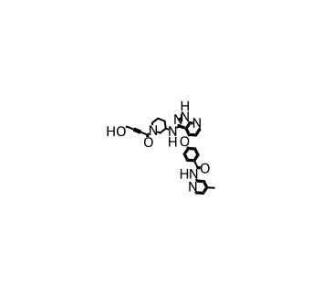 Cc1ccnc(NC(=O)c2ccc(Oc3ccnc4[nH]nc(NC5CCCN(C(=O)C#CCO)C5)c34)cc2)c1